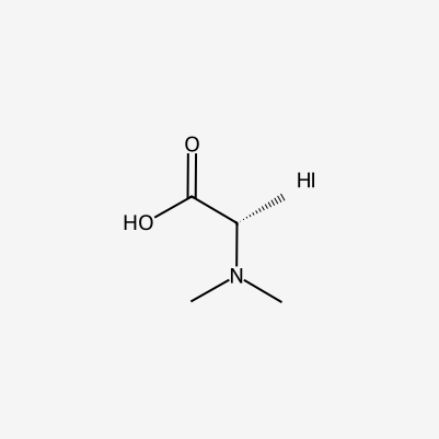 C[C@@H](C(=O)O)N(C)C.I